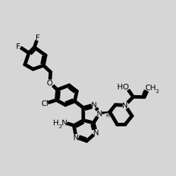 C=CC(O)N1CCC[C@@H](n2nc(-c3ccc(OCC4=CC(F)=C(F)CC4)c(Cl)c3)c3c(N)ncnc32)C1